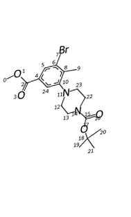 COC(=O)c1cc(Br)c(C)c(N2CCN(C(=O)OC(C)(C)C)CC2)c1